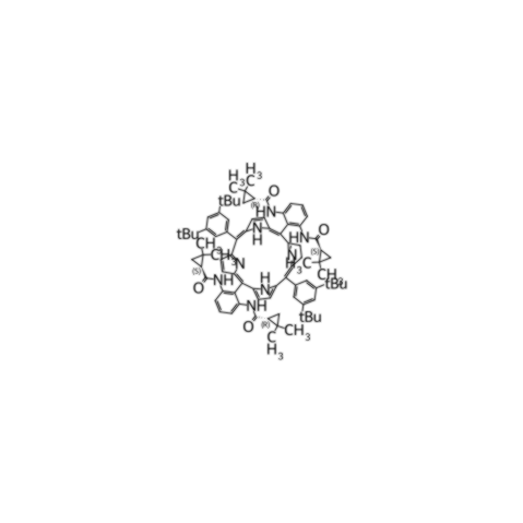 CC(C)(C)c1cc(-c2c3nc(c(-c4c(NC(=O)[C@H]5CC5(C)C)cccc4NC(=O)[C@@H]4CC4(C)C)c4ccc([nH]4)c(-c4cc(C(C)(C)C)cc(C(C)(C)C)c4)c4nc(c(-c5c(NC(=O)[C@H]6CC6(C)C)cccc5NC(=O)[C@@H]5CC5(C)C)c5ccc2[nH]5)CC4)C=C3)cc(C(C)(C)C)c1